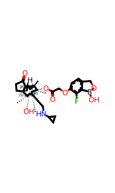 C[C@@H]1CC[C@@]23CCC(=O)[C@H]2[C@]1(C)[C@H](OC(=O)COc1ccc2c(c1F)B(O)OC2)C[C@@](C)(CNC1CC1)[C@@H](O)[C@@H]3C